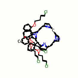 ClC=CCCOc1ccccc1-c1c(-c2ccccc2OCCC=CCl)c2c(-c3ccccc3OCCC=CCl)c3nc(cc4ccc(cc5nc(cc1n2-c1ccccc1OCCC=CCl)C=C5)[nH]4)C=C3.[Cu]